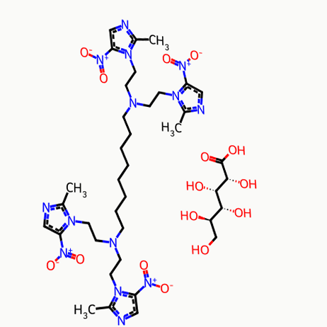 Cc1ncc([N+](=O)[O-])n1CCN(CCCCCCCCN(CCn1c([N+](=O)[O-])cnc1C)CCn1c([N+](=O)[O-])cnc1C)CCn1c([N+](=O)[O-])cnc1C.O=C(O)[C@H](O)[C@@H](O)[C@H](O)[C@H](O)CO